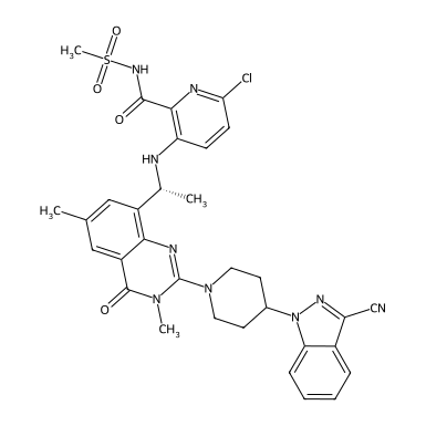 Cc1cc([C@@H](C)Nc2ccc(Cl)nc2C(=O)NS(C)(=O)=O)c2nc(N3CCC(n4nc(C#N)c5ccccc54)CC3)n(C)c(=O)c2c1